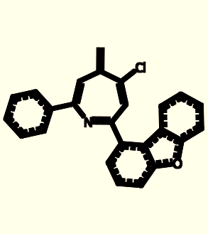 C=C1C=C(c2ccccc2)N=C(c2cccc3oc4ccccc4c23)C=C1Cl